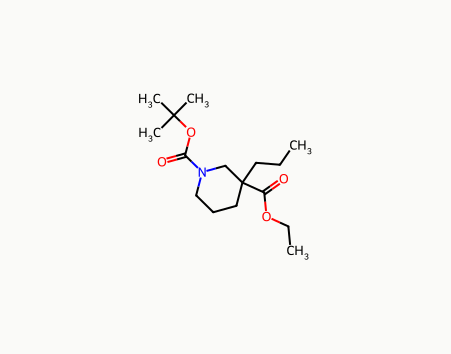 CCCC1(C(=O)OCC)CCCN(C(=O)OC(C)(C)C)C1